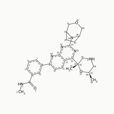 CNC(=O)c1cccc(-c2ccc3c([C@]4(C)CNC[C@@H](C)O4)nc(N4C5CCC4COC5)nc3n2)c1